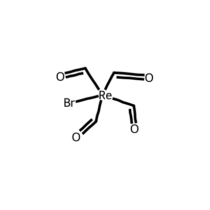 O=[CH][Re]([Br])([CH]=O)([CH]=O)[CH]=O